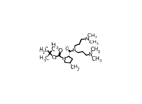 C[C@H]1C[C@@H](C(=O)N(CCCN(C)C)CCCN(C)C)N(C(=O)OC(C)(C)C)C1